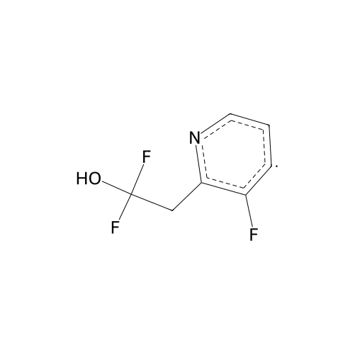 OC(F)(F)Cc1ncc[c]c1F